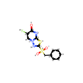 O=c1nc2sc(S(=O)(=O)Cc3ccccc3)nn2cc1F